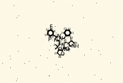 COC(C)(C)[C@H](c1nc(-c2cc(F)ccc2F)nn1Cc1ccccc1)N(C[C@@H]1CNC[C@@H]1C)C(=O)[C@@H]1CCCO1